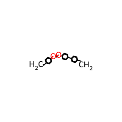 C=Cc1ccc(OCOc2ccc(-c3ccc(C=C)cc3)cc2)cc1